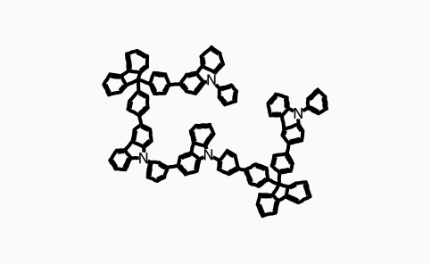 c1ccc(-n2c3ccccc3c3cc(-c4ccc(C5(c6ccc(-c7ccc(-n8c9ccccc9c9cc(-c%10cccc(-n%11c%12ccccc%12c%12cc(-c%13ccc(C%14(c%15ccc(-c%16ccc%17c(c%16)c%16ccccc%16n%17-c%16ccccc%16)cc%15)c%15ccccc%15-c%15ccccc%15%14)cc%13)ccc%12%11)c%10)ccc98)cc7)cc6)c6ccccc6-c6ccccc65)cc4)ccc32)cc1